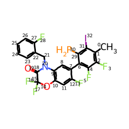 Cc1c(F)c(F)c(-c2cc3c(cc2F)OC(F)(F)C(=O)N3Cc2ccccc2F)c(P)c1I